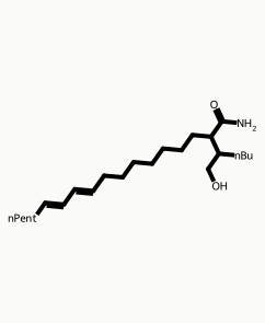 CCCCCC=CC=CCCCCCCCC(C(N)=O)C(CO)CCCC